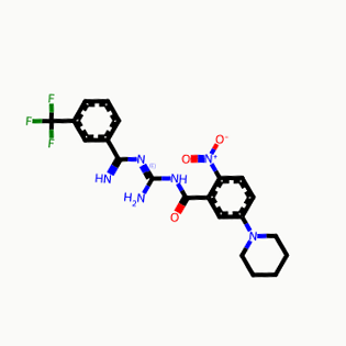 N=C(/N=C(\N)NC(=O)c1cc(N2CCCCC2)ccc1[N+](=O)[O-])c1cccc(C(F)(F)F)c1